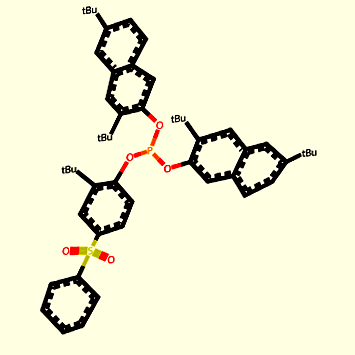 CC(C)(C)c1ccc2cc(OP(Oc3ccc(S(=O)(=O)c4ccccc4)cc3C(C)(C)C)Oc3cc4ccc(C(C)(C)C)cc4cc3C(C)(C)C)c(C(C)(C)C)cc2c1